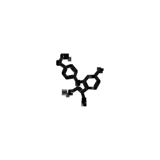 COc1ccc(-n2c(C)c(C#N)c3ccc(Br)cc32)cc1